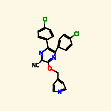 N#Cc1nc(-c2ccc(Cl)cc2)c(-c2ccc(Cl)cc2)nc1OCc1ccncc1